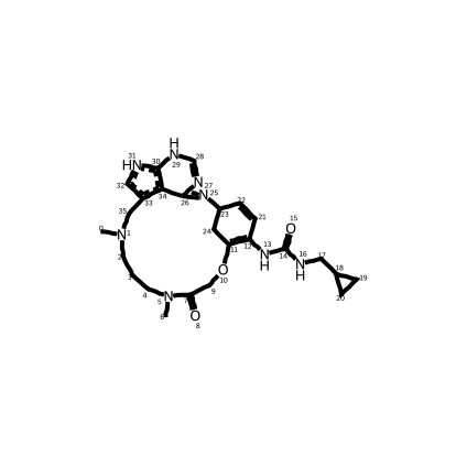 CN1CCCN(C)C(=O)COC2=C(NC(=O)NCC3CC3)C=CC(C2)/N=C2\N=CNc3[nH]cc(c32)C1